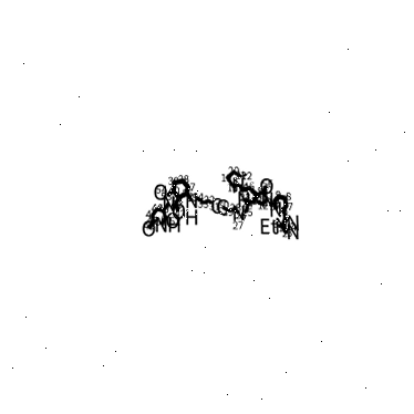 CCn1cnnc1-c1cccc(N2Cc3c(cc(N4CCC[C@H]4C)nc3CN(C)CCCCCCCNc3cccc4c3C(=O)N(C3CCC(=O)NC3=O)C4=O)C2=O)n1